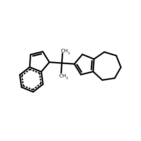 CC(C)(C1=CC2=C(CCCCC2)C1)C1C=Cc2ccccc21